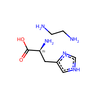 NCCN.N[C@@H](Cc1c[nH]cn1)C(=O)O